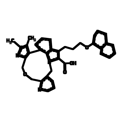 Cc1c2c(nn1C)COCc1ncccc1Cn1c(C(=O)O)c(CCCOc3cccc4ccccc34)c3cccc-2c31